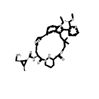 CCn1c(-c2cccnc2[C@H](C)OC)c2c3cc(ccc31)-c1csc(n1)C[C@H](NC(=O)[C@@H]1[C@@H](C)[C@H]1CN)C(=O)N1CCC[C@H](N1)C(=O)OCC(C)(C)C2